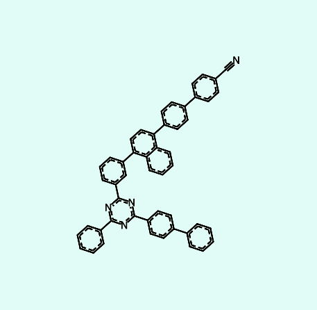 N#Cc1ccc(-c2ccc(-c3ccc(-c4cccc(-c5nc(-c6ccccc6)nc(-c6ccc(-c7ccccc7)cc6)n5)c4)c4ccccc34)cc2)cc1